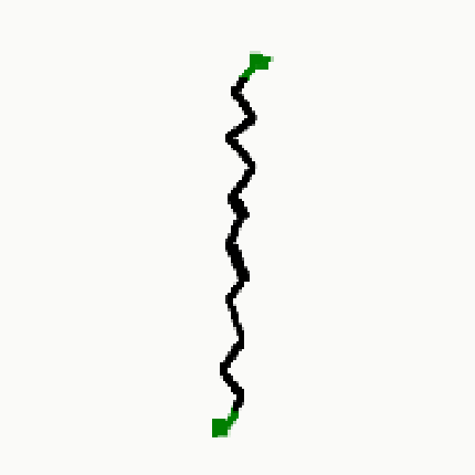 BrCCCCC=CC=CCCCCBr